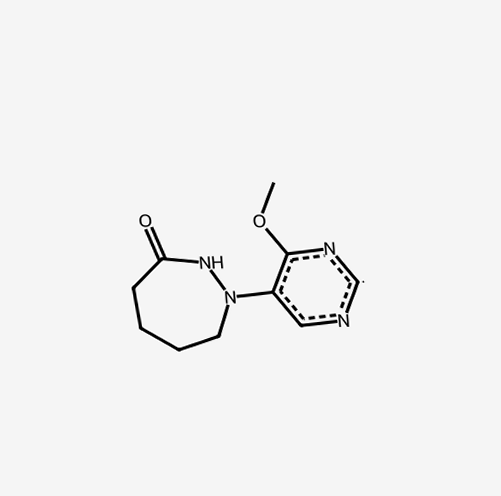 COc1n[c]ncc1N1CCCCC(=O)N1